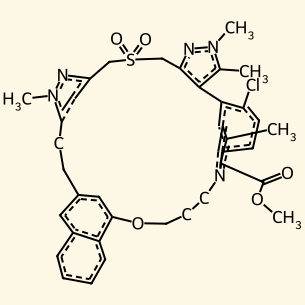 COC(=O)c1c(C)c2c3c(Cl)ccc2n1CCCOc1cc(cc2ccccc12)CCc1cc(nn1C)CS(=O)(=O)Cc1nn(C)c(C)c1-3